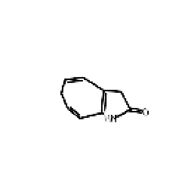 O=C1CC2=C(C=CCC=C2)N1